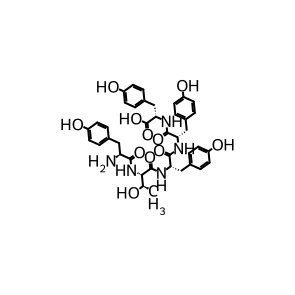 C[C@@H](O)[C@H](NC(=O)[C@@H](N)Cc1ccc(O)cc1)C(=O)N[C@@H](Cc1ccc(O)cc1)C(=O)N[C@@H](Cc1ccc(O)cc1)C(=O)N[C@@H](Cc1ccc(O)cc1)C(=O)O